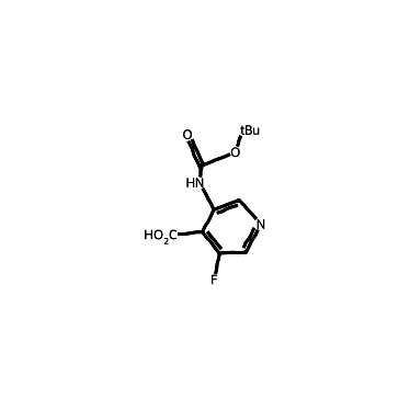 CC(C)(C)OC(=O)Nc1cncc(F)c1C(=O)O